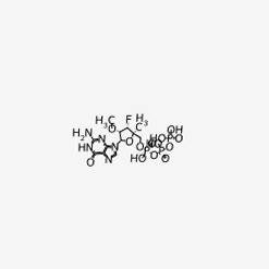 CO[C@H]1[C@H](n2cnc3c(=O)[nH]c(N)nc32)O[C@](C)(COP(=O)(O)OP(=O)(O)OP(=O)(O)O)[C@H]1F